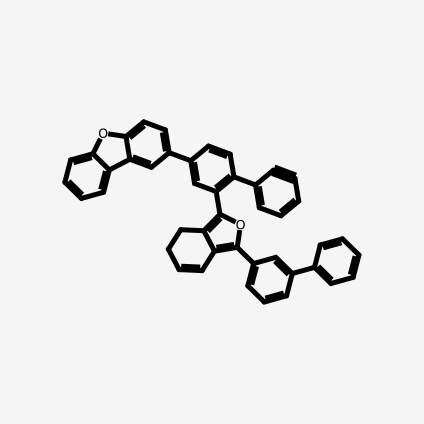 c1cccc(-c2ccc(-c3ccc4oc5ccccc5c4c3)cc2-c2oc(-c3cccc(-c4ccccc4)c3)c3c2CCC=C3)c#1